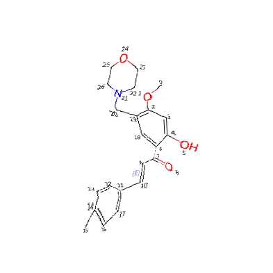 COc1cc(O)c(C(=O)/C=C/c2ccc(C)cc2)cc1CN1CCOCC1